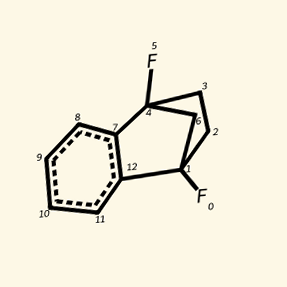 FC12CCC(F)(C1)c1ccccc12